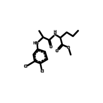 CCCC(NC(=O)C(C)Nc1ccc(Cl)c(Cl)c1)C(=O)OC